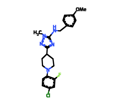 COc1ccc(CNc2nc(C3CCN(c4ccc(Cl)cc4F)CC3)nn2C)cc1